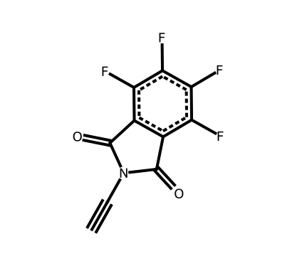 C#CN1C(=O)c2c(F)c(F)c(F)c(F)c2C1=O